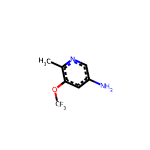 Cc1ncc(N)cc1OC(F)(F)F